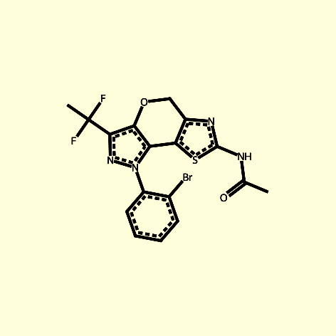 CC(=O)Nc1nc2c(s1)-c1c(c(C(C)(F)F)nn1-c1ccccc1Br)OC2